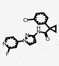 O=C(Nc1ccn(-c2ccnc(F)c2)n1)C1(c2cccc(Cl)c2)CC1